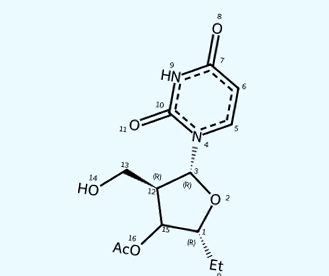 CC[C@H]1O[C@@H](n2ccc(=O)[nH]c2=O)[C@H](CO)C1OC(C)=O